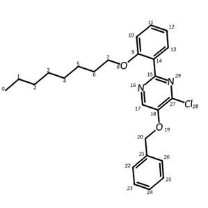 CCCCCCCCOc1ccccc1-c1ncc(OCc2ccccc2)c(Cl)n1